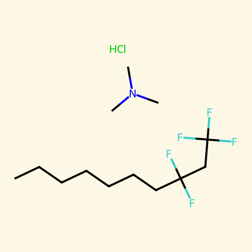 CCCCCCCC(F)(F)CC(F)(F)F.CN(C)C.Cl